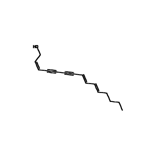 CCCC/C=C/C=C/C#CC#C/C=C\CO